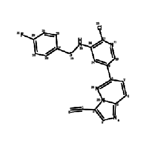 C#Cc1cnc2ccc(-c3cnc(Cl)c(NSc4ccc(F)cc4)c3)nn12